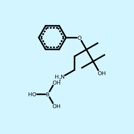 CC(C)(O)C(C)(CCN)Oc1ccccc1.OB(O)O